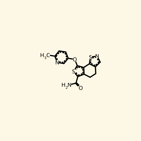 Cc1ccc(Oc2sc(C(N)=O)c3c2-c2sncc2CC3)cn1